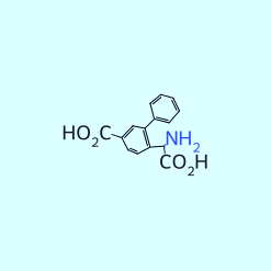 NC(C(=O)O)c1ccc(C(=O)O)cc1-c1ccccc1